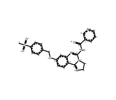 CS(=O)(=O)c1ccc(COc2ccc3c(c2)N=C(NC(=O)c2cccnc2)N2CCN=C32)cc1